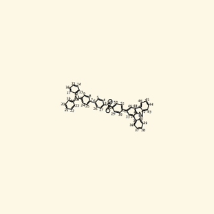 O=S(=O)(c1ccc(-c2ccc(N(c3ccccc3)c3ccccc3)cc2)cc1)c1ccc(-c2cc3c4ccccc4n4c5ccccc5c(c2)c34)cc1